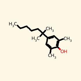 CCCCCC(C)(C)c1cc(C)c(O)c(C)c1